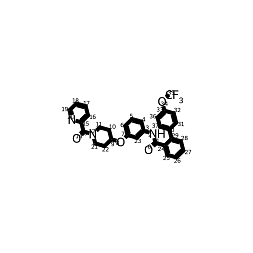 O=C(Nc1cccc(OC2CCN(C(=O)c3ccccn3)CC2)c1)c1ccccc1-c1ccc(OC(F)(F)F)cc1